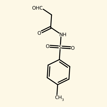 Cc1ccc(S(=O)(=O)NC(=O)CC=O)cc1